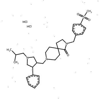 CC(C)CN1CC(CN2CCC3(CC2)CCN(Cc2ccc(S(C)(=O)=O)cc2)C3=O)C(c2ccccc2)C1.Cl.Cl